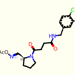 CC(=O)O/N=C/[C@@H]1CCCN1C(=O)CCC(=O)NCc1ccc(Cl)cc1